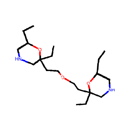 CCC1CNCC(CC)(CCOCCC2(CC)CNCC(CC)O2)O1